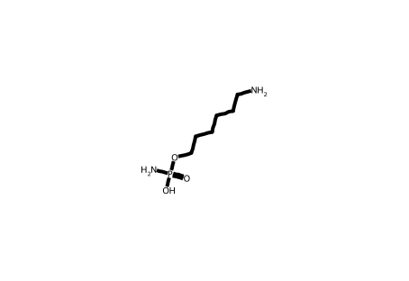 NCCCCCCOP(N)(=O)O